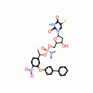 CC(OP(=O)(OCC1OC(n2cc(F)c(=O)[nH]c2=O)CC1O)N(C)C)c1ccc([N+](=O)[O-])c(Oc2ccc(-c3ccccc3)cc2)c1